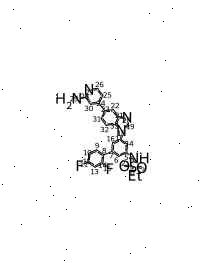 CCS(=O)(=O)Nc1cc(-c2ccc(F)cc2F)cc(-n2cnc3cc(-c4ccnc(N)c4)ccc32)c1